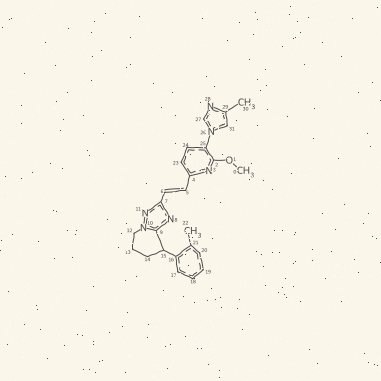 COc1nc(C=Cc2nc3n(n2)CCCC3c2ccccc2C)ccc1-n1cnc(C)c1